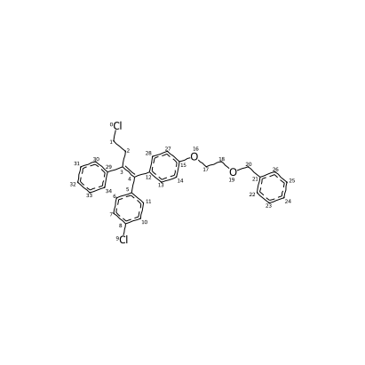 ClCC/C(=C(/c1ccc(Cl)cc1)c1ccc(OCCOCc2ccccc2)cc1)c1ccccc1